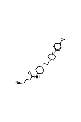 COc1ccc(N2CCN(CC[C@H]3CC[C@H](NC(=O)CCCC#N)CC3)CC2)cc1